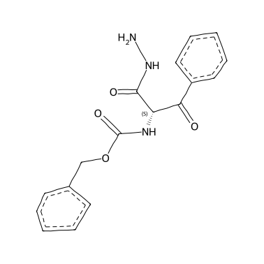 NNC(=O)[C@@H](NC(=O)OCc1ccccc1)C(=O)c1ccccc1